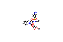 CCO[C@H]1C[C@@H](OC(=O)N[C@@H](Cc2ccccc2)[C@H](O)CN(CC(C)C)S(=O)(=O)c2ccc(N)cc2)CO1